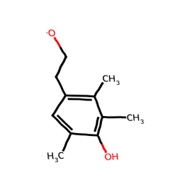 Cc1cc(CC[O])c(C)c(C)c1O